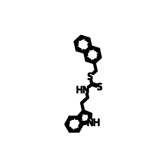 S=C(NCCc1c[nH]c2ccccc12)SCc1ccc2ccccc2c1